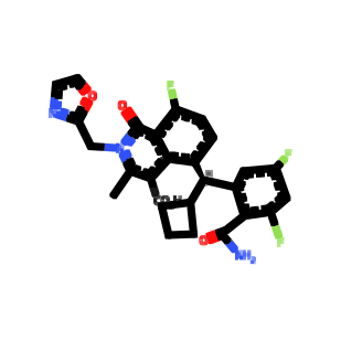 Cc1c(C(=O)O)c2c([C@@H](c3cc(F)cc(F)c3C(N)=O)C3CCC3)ccc(F)c2c(=O)n1Cc1ncco1